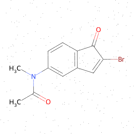 CC(=O)N(C)c1ccc2c(c1)C=C(Br)C2=O